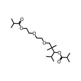 CC(C)C(=O)OCCOCCOCC(C)(C)C(OC(=O)C(C)C)C(C)C